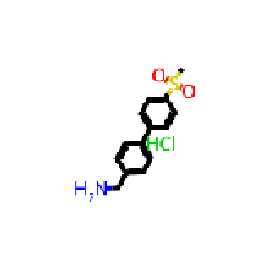 CS(=O)(=O)c1ccc(-c2ccc(CN)cc2)cc1.Cl